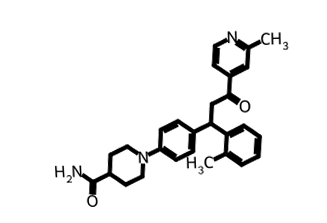 Cc1cc(C(=O)CC(c2ccc(N3CCC(C(N)=O)CC3)cc2)c2ccccc2C)ccn1